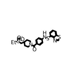 CC[S+]([O-])CC1(O)CCN(C(=O)c2ccc(NSc3cccc4scnc34)cc2)CC1